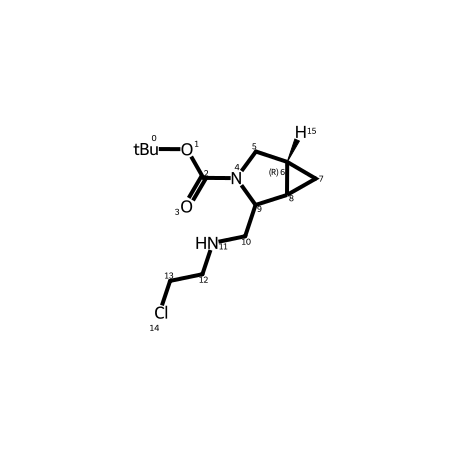 CC(C)(C)OC(=O)N1C[C@@H]2CC2C1CNCCCl